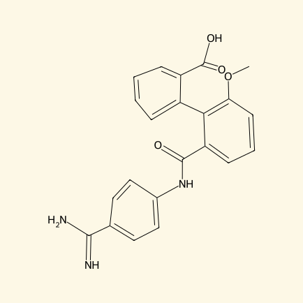 COc1cccc(C(=O)Nc2ccc(C(=N)N)cc2)c1-c1ccccc1C(=O)O